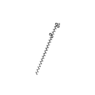 CCCCCCCCCCCCCCCCCCCCCCCCCCCCOC(=O)CCCCCCC(=O)O